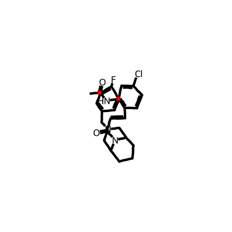 CC(=O)Nc1cc(Cl)ccc1/C=C/C(=O)N1C2CCCC1CN(Cc1ccc(F)cc1)C2